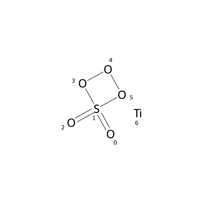 O=S1(=O)OOO1.[Ti]